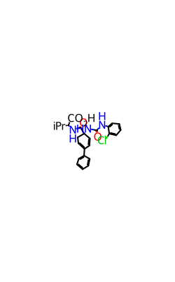 CC(C)[C@H](NC(=O)C1(NC(=O)Nc2ccccc2Cl)C=CC(c2ccccc2)=CC1)C(=O)O